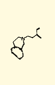 C=CC(=C)CCN1CCc2ccccc2C1